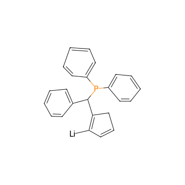 [Li][C]1=C(C(c2ccccc2)P(c2ccccc2)c2ccccc2)CC=C1